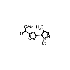 CCn1ncc(C)c1-c1coc(C(=O)OC)c1